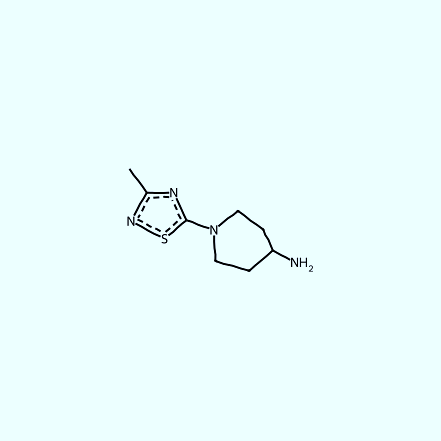 Cc1nsc(N2CCC(N)CC2)n1